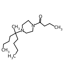 CCCCC(C)(CCCC)N1CCN(C(=O)CCC)CC1